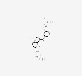 CCN(C)S(=O)(=O)Nc1ccc(F)c(C(=O)c2c[nH]c3ccc(B4OC(C)(C)C(C)(C)O4)nc23)c1F